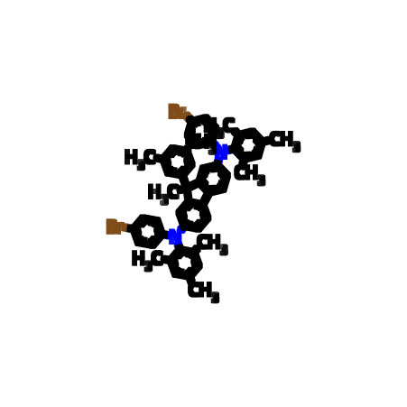 Cc1cc(C)cc(C2(C)c3cc(N(c4ccc(Br)cc4)c4c(C)cc(C)cc4C)ccc3-c3ccc(N(c4ccc(Br)cc4)c4c(C)cc(C)cc4C)cc32)c1